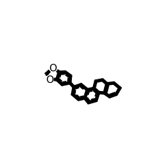 C1=CC2=C(CC1)CCc1c2ccc2ccc(-c3ccc4c(c3)OCO4)cc12